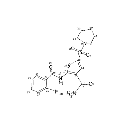 NC(=O)c1cc(S(=O)(=O)N2CCCCC2)sc1NC(=O)c1ccccc1F